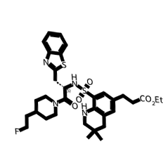 CCOC(=O)CCc1cc2c(c(S(=O)(=O)N[C@@H](Cc3nc4ccccc4s3)C(=O)N3CCC(CCF)CC3)c1)NCC(C)(C)C2